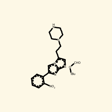 CC(C)(C)OC=O.O=[N+]([O-])c1ccccc1-c1cn2c(CCN3CCNCC3)csc2n1